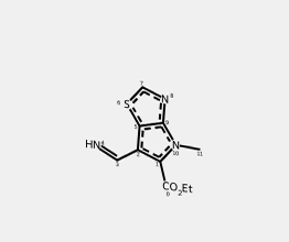 CCOC(=O)c1c(C=N)c2scnc2n1C